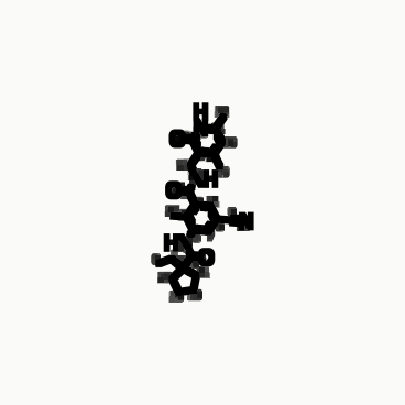 CCC1(C(=O)Nc2cc(C#N)cc(C(=O)NCc3c(C)cc(C)[nH]c3=O)c2C)CCCC1